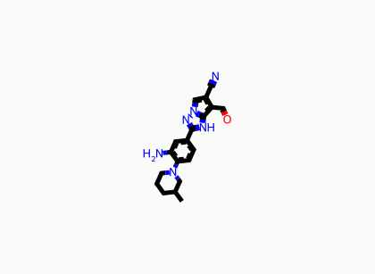 CC1CCCN(c2ccc(-c3nn4cc(C#N)c(C=O)c4[nH]3)cc2N)C1